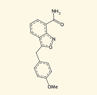 COc1ccc(Cc2onc3c(C(N)=O)cccc23)cc1